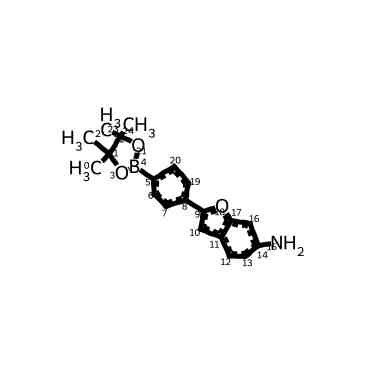 CC1(C)OB(c2ccc(-c3cc4ccc(N)cc4o3)cc2)OC1(C)C